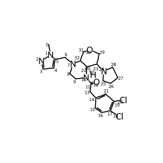 Cn1nccc1CN1CCN(C(=O)Cc2ccc(Cl)c(Cl)c2)[C@@H]2C(N3CCCC3)COCC21